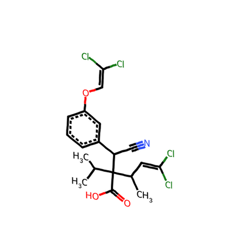 CC(C)C(C(=O)O)(C(C)C=C(Cl)Cl)C(C#N)c1cccc(OC=C(Cl)Cl)c1